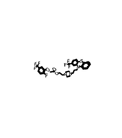 O=C(COc1cc(C(F)(F)F)ccc1F)OCCN1CCN(CCCN2c3ccccc3Sc3ccc(C(F)(F)F)cc32)CC1